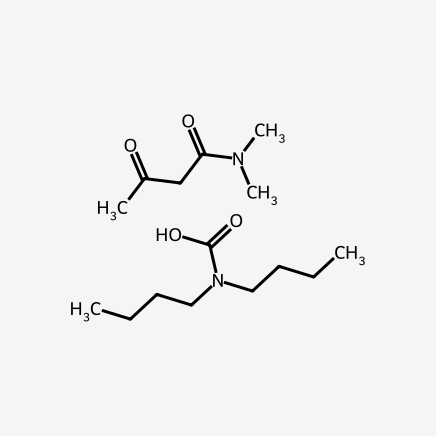 CC(=O)CC(=O)N(C)C.CCCCN(CCCC)C(=O)O